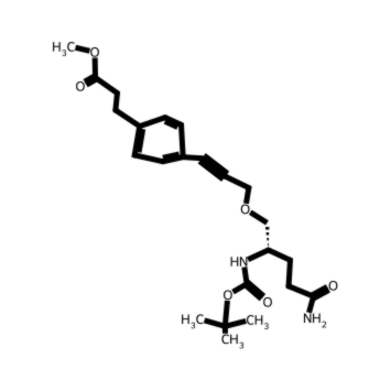 COC(=O)CCc1ccc(C#CCOC[C@H](CCC(N)=O)NC(=O)OC(C)(C)C)cc1